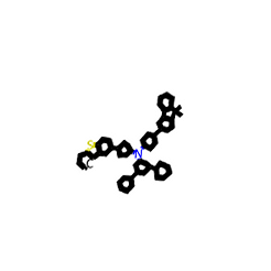 CC1(C)c2ccccc2-c2cc(-c3ccc(N(c4ccc(-c5ccc6sc7ccccc7c6c5)cc4)c4cc(-c5ccccc5)cc(-c5ccccc5)c4)cc3)ccc21